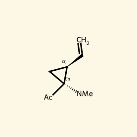 C=C[C@@H]1C[C@]1(NC)C(C)=O